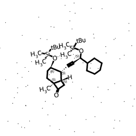 CC(C)(C)[Si](C)(C)O[C@H](C#C[C@H]1[C@H](O[Si](C)(C)C(C)(C)C)CC[C@]2(C)C(=O)C[C@@H]12)C1CCCCC1